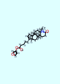 CCN1C(=O)CC[C@@H]2[C@H]3CC[C@]4(C)[C@@H](CCCCC(=O)Oc5ccoc5)CC[C@H]4[C@@H]3CC[C@H]21